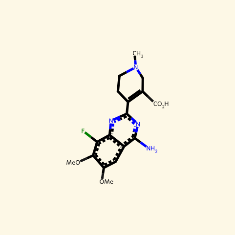 COc1cc2c(N)nc(C3=C(C(=O)O)CN(C)CC3)nc2c(F)c1OC